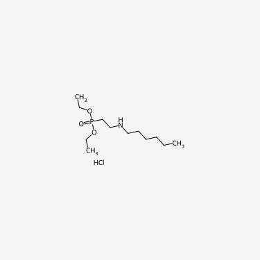 CCCCCCNCCP(=O)(OCC)OCC.Cl